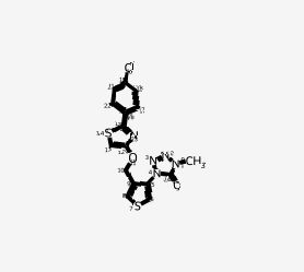 Cn1nnn(-c2cscc2COc2csc(-c3ccc(Cl)cc3)n2)c1=O